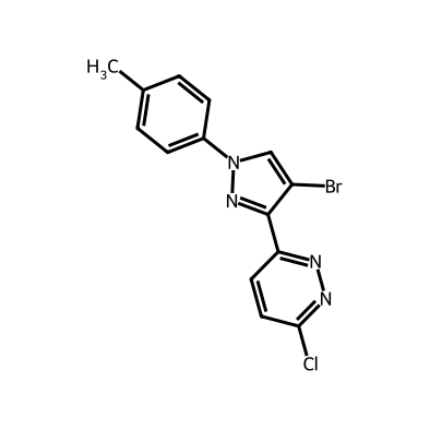 Cc1ccc(-n2cc(Br)c(-c3ccc(Cl)nn3)n2)cc1